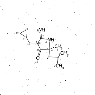 CC(C)CC1(C)NC(=N)N(CC2CC2)C1=O